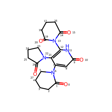 O=C1CCCCN1c1[c]c(=O)[nH]c(N2C(=O)CCCC2=O)c1N1CCCC1=O